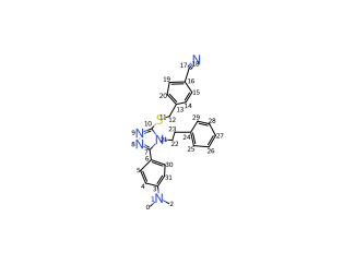 CN(C)c1ccc(-c2nnc(SCc3ccc(C#N)cc3)n2CCc2ccccc2)cc1